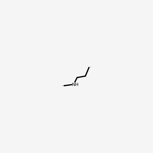 [CH2]CCN[CH2]